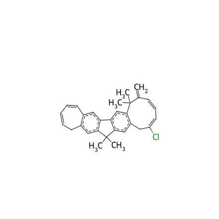 C=C1/C=C\C=C(\Cl)Cc2cc3c(cc2C1(C)C)-c1cc2c(cc1C3(C)C)CC=CC=C2